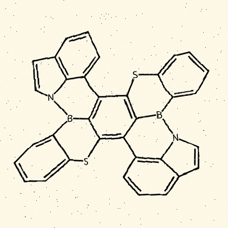 c1ccc2c(c1)Sc1c3c(c4c5c1-c1cccc6ccn(c16)B5c1ccccc1S4)-c1cccc4ccn(c14)B23